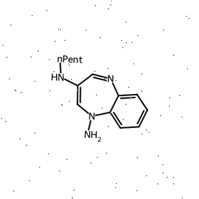 CCCCCNC1=CN(N)c2ccccc2N=C1